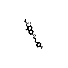 CCNCC1=C(C)c2ccc(OCCCc3ccc(F)cc3)cc2CC1